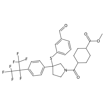 COC(=O)C1CCC(C(=O)N2CCC(Sc3cccc(C=O)c3)(c3ccc(C(F)(C(F)(F)F)C(F)(F)F)cc3)C2)CC1